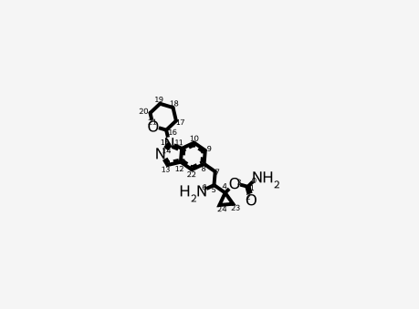 NC(=O)OC1(C(N)Cc2ccc3c(cnn3C3CCCCO3)c2)CC1